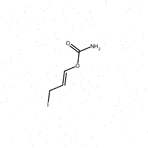 NC(=O)OC=CCI